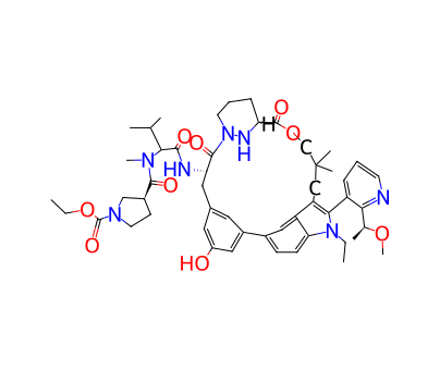 CCOC(=O)N1CC[C@H](C(=O)N(C)C(C(=O)N[C@H]2Cc3cc(O)cc(c3)-c3ccc4c(c3)c(c(-c3cccnc3[C@H](C)OC)n4CC)CC(C)(C)COC(=O)[C@@H]3CCCN(N3)C2=O)C(C)C)C1